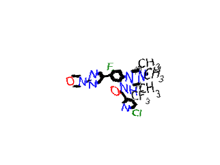 C[C@@H]1CN(c2cc(F)c(-c3cnc(N4CCOCC4)nc3)cc2NC(=O)c2cnc(Cl)cc2C(F)(F)F)C[C@H](C)N1C